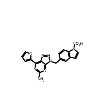 Nc1nc(-c2ccco2)c2nnn(Cc3ccc4c(ccn4C(=O)O)c3)c2n1